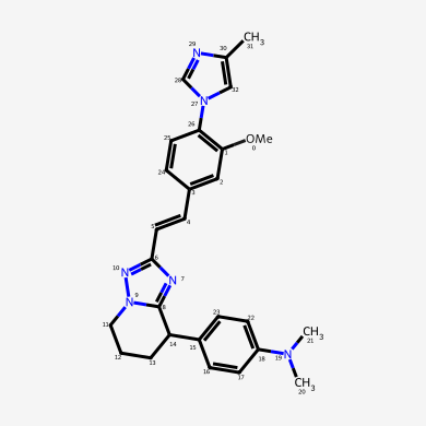 COc1cc(C=Cc2nc3n(n2)CCCC3c2ccc(N(C)C)cc2)ccc1-n1cnc(C)c1